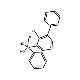 OP(O)(O)(c1ccccc1)c1cccc(-c2ccccc2)c1Cl